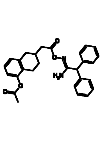 CC(=O)Oc1cccc2c1CCC(CC(=O)ON=C(N)C(c1ccccc1)c1ccccc1)C2